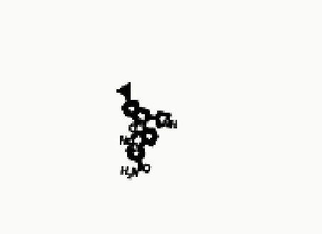 NC(=O)c1cccc(-c2cccc(-n3c(C4CCNC4)cc4cc(C5CC5)ccc4c3=O)c2CO)c1